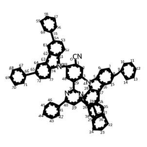 N#Cc1cc(-n2c3ccc(-c4ccccc4)cc3c3cc(-c4ccccc4)ccc32)c(-c2nc(-c3ccccc3)cc(-c3ccccc3)n2)cc1-n1c2ccc(-c3ccccc3)cc2c2cc(-c3ccccc3)ccc21